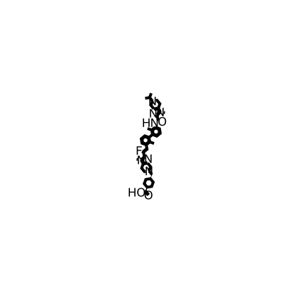 Cc1c(/C=C(\F)c2nc3c(n2C)CCN(C[C@H]2CC[C@H](C(=O)O)CC2)C3)cccc1-c1cccc(NC(=O)c2nc3c(n2C)CCN(C(C)C)C3)c1C